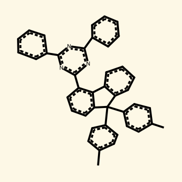 Cc1ccc(C2(c3ccc(C)cc3)c3ccccc3-c3c(-c4nc(-c5ccccc5)nc(-c5ccccc5)n4)cccc32)cc1